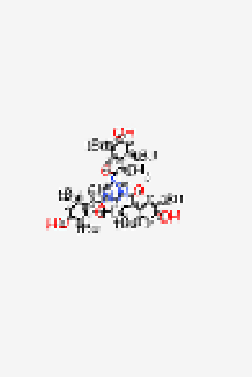 CC(C(=O)N1CN(C(=O)C(C)c2cc(C(C)(C)C)c(O)cc2C(C)(C)C)CN(C(=O)C(C)c2cc(C(C)(C)C)c(O)cc2C(C)(C)C)C1)c1cc(C(C)(C)C)c(O)cc1C(C)(C)C